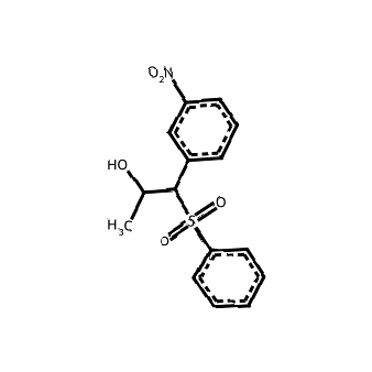 CC(O)C(c1cccc([N+](=O)[O-])c1)S(=O)(=O)c1ccccc1